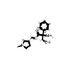 CN1CC[C@@H](COC(=O)C(N)(CO)c2ccccc2)C1